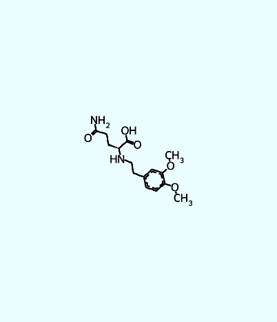 COc1ccc(CCN[C@@H](CCC(N)=O)C(=O)O)cc1OC